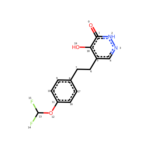 O=c1[nH]ncc(CCc2ccc(OC(F)F)cc2)c1O